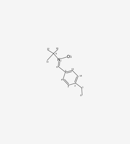 CCc1ccc(/C=[N+](\[O-])C(C)(C)C)cc1